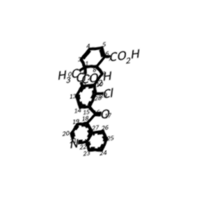 CC1(C(=O)O)C=CC=C(C(=O)O)C1Cc1c(Cl)ccc(C(=O)c2ccnc3ccccc23)c1Cl